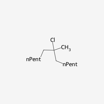 CCCCCCC(C)(Cl)CCCCCC